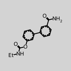 CCNC(=O)Oc1cccc(-c2cccc(C(N)=O)c2)c1